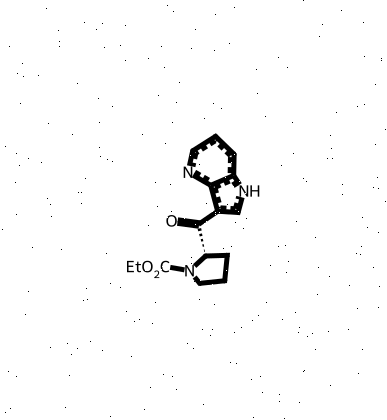 CCOC(=O)N1CCC[C@H]1C(=O)c1c[nH]c2cccnc12